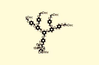 CCCCCCCCCCCCOc1ccc(COc2ccc(COc3cc(COc4ccc(CC(NC(=O)OC(C)(C)C)C(=O)NC(CO)C(=O)OC)cc4)cc(OCc4ccc(OCc5ccc(OCCCCCCCCCCCC)cc5)c(OCc5ccc(OCCCCCCCCCCCC)cc5)c4)c3)cc2OCc2ccc(OCCCCCCCCCCCC)cc2)cc1